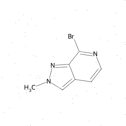 Cn1cc2ccnc(Br)c2n1